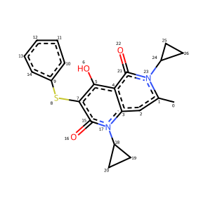 Cc1cc2c(c(O)c(Sc3ccccc3)c(=O)n2C2CC2)c(=O)n1C1CC1